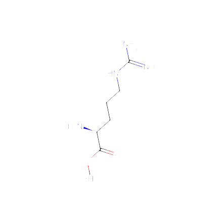 [2H]OC(=O)[C@@H](N)CCCNC(=N)N